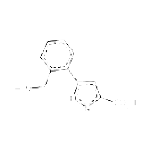 NCc1ccccc1-c1cc(C(=O)O)no1